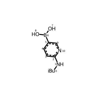 CCC(C)Nc1ccc(B(O)O)cn1